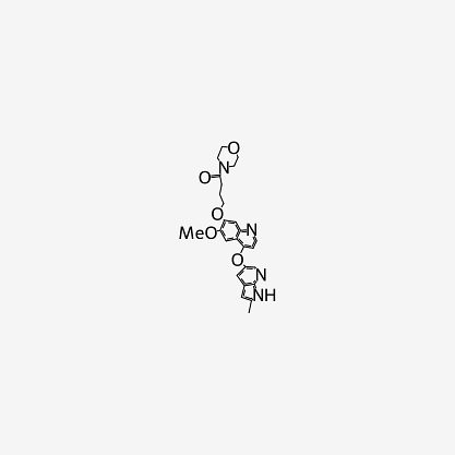 COc1cc2c(Oc3cnc4[nH]c(C)cc4c3)ccnc2cc1OCCCC(=O)N1CCOCC1